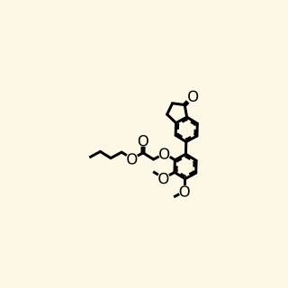 CCCCOC(=O)COc1c(-c2ccc3c(c2)CCC3=O)ccc(OC)c1OC